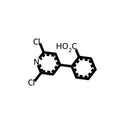 O=C(O)c1ccccc1-c1cc(Cl)nc(Cl)c1